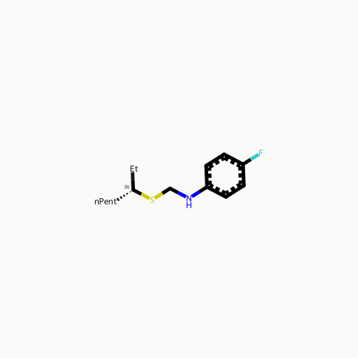 CCCCC[C@H](CC)SCNc1ccc(F)cc1